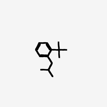 CC(C)Cc1ccccc1C(C)(C)C